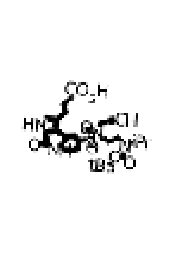 C#CCN(CCN(C(=O)OC(C)(C)C)C(C)C)S(=O)(=O)c1ccc2[nH]c(=O)c3[nH]cc(CCCC(=O)O)c3c2c1